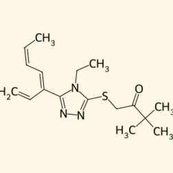 C=C/C(=C\C=C/C)c1nnc(SCC(=O)C(C)(C)C)n1CC